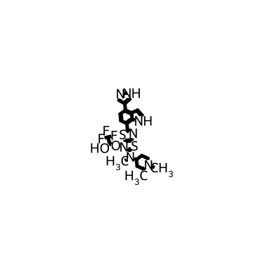 CC1CC(N(C)c2nc3sc(-c4ccc(-c5cn[nH]c5)c5cc[nH]c45)nc3s2)CCN1C.O=C(O)C(F)(F)F